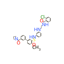 COc1ccc(-c2cccc(C(=O)N3CCC3)c2)cc1SNc1cccc(NCCNC(=O)c2ccccc2Cl)c1